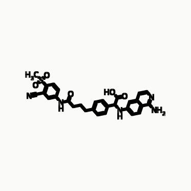 CS(=O)(=O)c1ccc(NC(=O)CCCc2ccc(C(Nc3ccc4c(N)nccc4c3)C(=O)O)cc2)cc1C#N